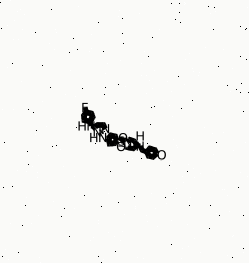 COc1ccc(CNC2CCN(S(=O)(=O)c3ccc(Nc4nccc(Nc5ccc(F)cc5)n4)cc3)CC2)cc1